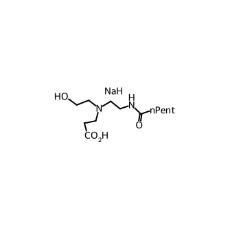 CCCCCC(=O)NCCN(CCO)CCC(=O)O.[NaH]